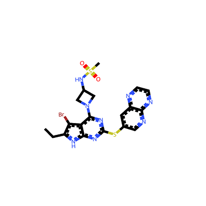 CCc1[nH]c2nc(Sc3cnc4nccnc4c3)nc(N3CC(NS(C)(=O)=O)C3)c2c1Br